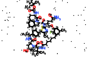 Cc1cc(CCCCCC(=O)N[C@H](C(=O)N2C[C@H](O)C[C@H]2C(=O)N[C@@H](C)c2ccc(-c3scnc3C)cc2)C(C)(C)C)c(F)c(OC[C@H](CCC(N)=O)NC(=O)[C@@H]2Cc3cccc4c3N2C(=O)[C@@H](NC(=O)OC(C)(C)C)CC4)c1